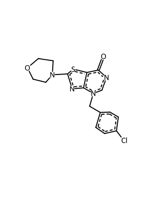 O=c1ncn(Cc2ccc(Cl)cc2)c2nc(N3CCOCC3)sc12